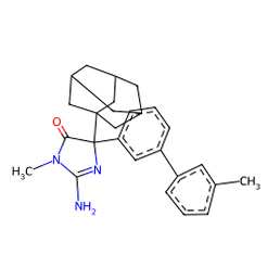 Cc1cccc(-c2cccc(C3(C45CC6CC(CC(C6)C4)C5)N=C(N)N(C)C3=O)c2)c1